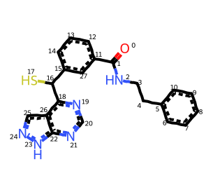 O=C(NCCc1ccccc1)c1cccc(C(S)c2ncnc3[nH]ncc23)c1